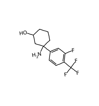 NC1(c2ccc(C(F)(F)F)c(F)c2)CCCC(O)C1